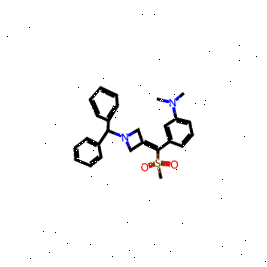 CN(C)c1cccc(C(=C2CN(C(c3ccccc3)c3ccccc3)C2)S(C)(=O)=O)c1